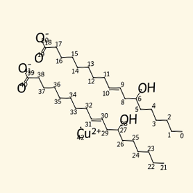 CCCCCCC(O)CC=CCCCCCCCC(=O)[O-].CCCCCCC(O)CC=CCCCCCCCC(=O)[O-].[Cu+2]